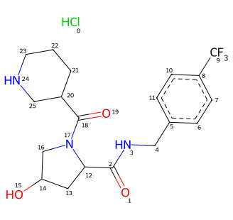 Cl.O=C(NCc1ccc(C(F)(F)F)cc1)C1CC(O)CN1C(=O)C1CCCNC1